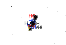 COC(=O)[C@H](CNC(=O)c1cccs1)NC(=O)c1c(C)nc(NCCCc2cccc(O)c2)nc1C